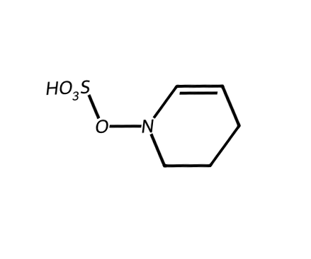 O=S(=O)(O)ON1C=CCCC1